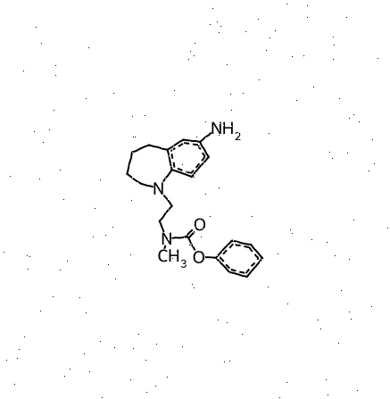 CN(CCN1CCCCc2cc(N)ccc21)C(=O)Oc1ccccc1